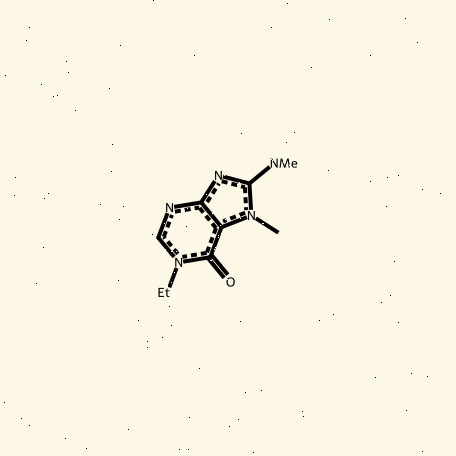 CCn1cnc2nc(NC)n(C)c2c1=O